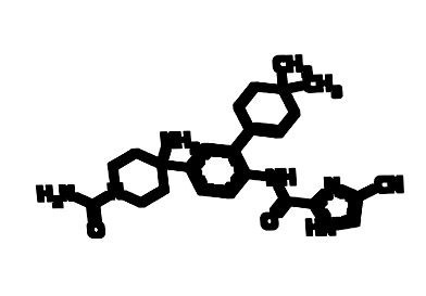 CC1(C)CC=C(c2cc(C3(N)CCN(C(N)=O)CC3)ccc2NC(=O)c2nc(C#N)c[nH]2)CC1